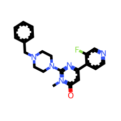 Cn1c(N2CCN(Cc3ccccc3)CC2)nc(-c2ccncc2F)cc1=O